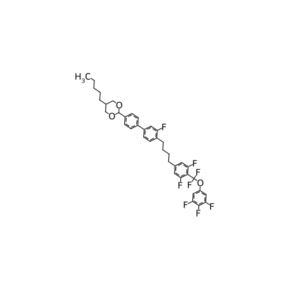 CCCCCC1COC(c2ccc(-c3ccc(CCCCc4cc(F)c(C(F)(F)Oc5cc(F)c(F)c(F)c5)c(F)c4)c(F)c3)cc2)OC1